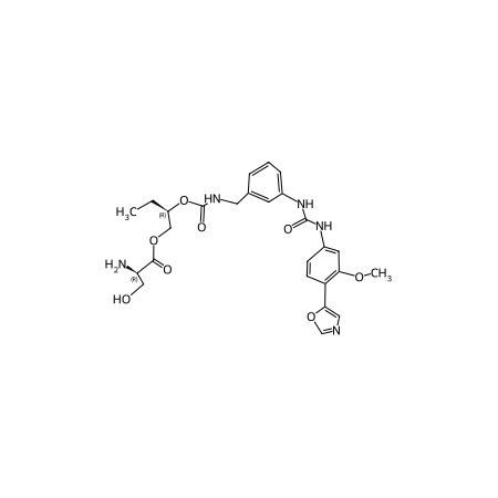 CC[C@H](COC(=O)[C@H](N)CO)OC(=O)NCc1cccc(NC(=O)Nc2ccc(-c3cnco3)c(OC)c2)c1